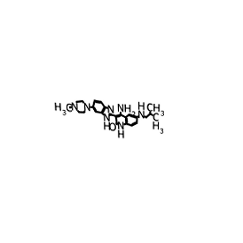 CC(C)CNc1ccc2[nH]c(=O)c(-c3nc4ccc(N5CCN(C)CC5)cc4[nH]3)c(N)c2c1